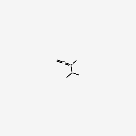 C=C=[N+](C)N(C)C